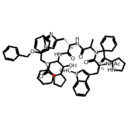 CC(=O)N[C@@H](Cc1cn(C=O)c2ccccc12)C(=O)N(C(C)C(=O)N[C@@H](Cc1cn(COCc2ccccc2)cn1)C(=O)NC(CC1CCCCC1)C(O)C1CCCN1C(=O)OCc1ccccc1)C1(C(=O)C2CCCN2)C=CC=CC1